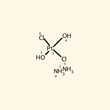 N.N.[OH][Pt]([OH])([Cl])[Cl]